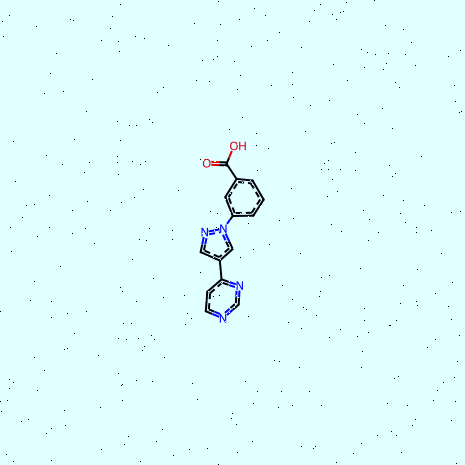 O=C(O)c1cccc(-n2cc(-c3ccncn3)cn2)c1